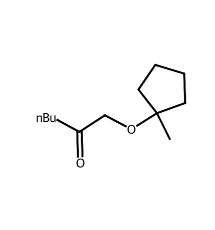 CCCCC(=O)COC1(C)CCCC1